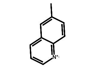 Cc1ccc2c(c1)=CC=C[N+]=2